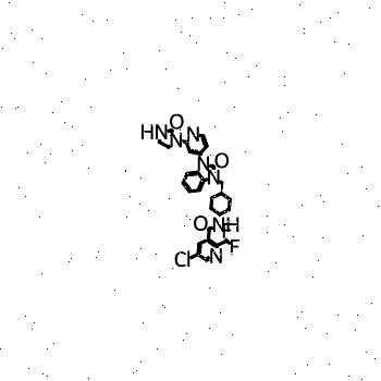 O=C(N[C@H]1CC[C@H](Cn2c(=O)n(-c3ccnc(N4CCNC4=O)c3)c3ccccc32)CC1)c1cc(Cl)cnc1C(F)F